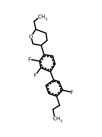 CCCc1ccc(-c2ccc(C3CCC(CC)OC3)c(F)c2F)cc1F